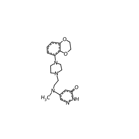 CN(CCN1CCN(c2cccc3c2OCCO3)CC1)c1cn[nH]c(=O)c1